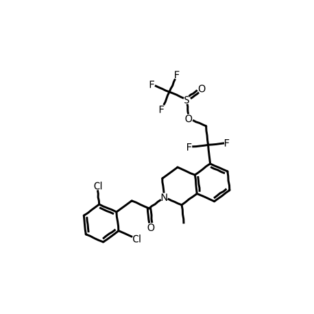 CC1c2cccc(C(F)(F)COS(=O)C(F)(F)F)c2CCN1C(=O)Cc1c(Cl)cccc1Cl